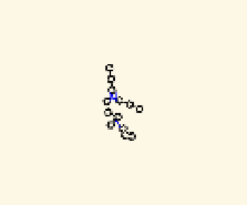 c1ccc(-c2ccc(-c3ccc(N(c4ccc(-c5ccc(-c6ccccc6)cc5)cc4)c4cccc(-c5cccc(-c6cccc7c6c6ccccc6n7-c6ccc7c(ccc8ccccc87)c6)c5)c4)cc3)cc2)cc1